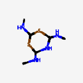 CNC1NC(NC)SC(NC)S1